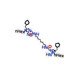 CCCCCCN1C(=N)N(CC(=O)NCCCCCCCCNC(=O)CN2C[C@H](Cc3ccccc3)N(CCCCCC)C2=N)CC1Cc1ccccc1